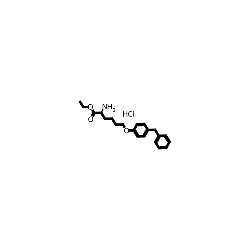 CCOC(=O)[C@@H](N)CCCCOc1ccc(Cc2ccccc2)cc1.Cl